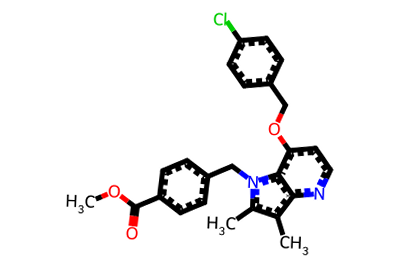 COC(=O)c1ccc(Cn2c(C)c(C)c3nccc(OCc4ccc(Cl)cc4)c32)cc1